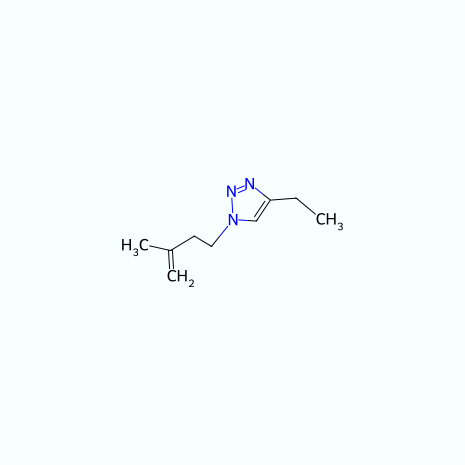 C=C(C)CCn1cc(CC)nn1